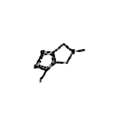 CN1Cc2onc(I)c2C1